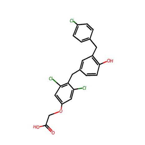 O=C(O)COc1cc(Cl)c(Cc2ccc(O)c(Cc3ccc(Cl)cc3)c2)c(Cl)c1